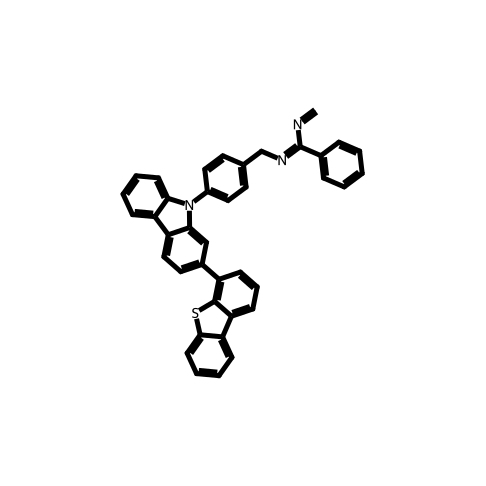 C=N/C(=N\Cc1ccc(-n2c3ccccc3c3ccc(-c4cccc5c4sc4ccccc45)cc32)cc1)c1ccccc1